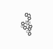 c1ccc(-c2nc(-c3ccc4ccc5ccccc5c4c3)nc(-c3cccc4oc5ccc(-c6cccc7c6oc6ccccc67)cc5c34)n2)cc1